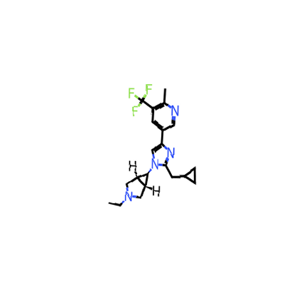 CCN1C[C@@H]2[C@H](C1)[C@H]2n1cc(-c2cnc(C)c(C(F)(F)F)c2)nc1CC1CC1